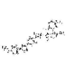 CCCc1ccc(C)cc1-n1c(C)cs/c1=N\C(=O)NCC(F)c1ccc(-c2ncn(-c3ccc(OC(F)(F)F)cc3)n2)cc1